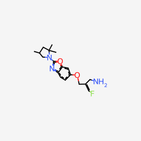 CC1CN(c2nc3ccc(OC/C(=C/F)CN)cc3o2)C(C)(C)C1